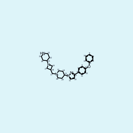 c1ccc(Oc2ccc(-c3ccn(C4CCN(CC5CN(C6CCNCC6)C5)CC4)n3)cc2)cc1